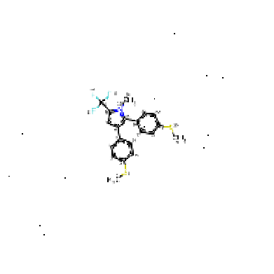 CSc1ccc(-c2cc(C(F)(F)F)n(C)c2-c2ccc(SC)cc2)cc1